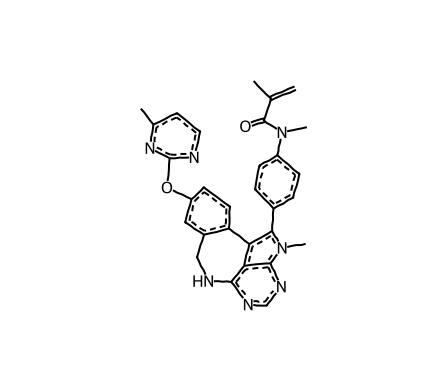 C=C(C)C(=O)N(C)c1ccc(-c2c3c4c(ncnc4n2C)NCc2cc(Oc4nccc(C)n4)ccc2-3)cc1